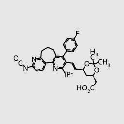 CC(C)c1nc2c(c(-c3ccc(F)cc3)c1/C=C/[C@@H]1C[C@H](CC(=O)O)OC(C)(C)O1)CCCc1nc(N=C=O)ccc1-2